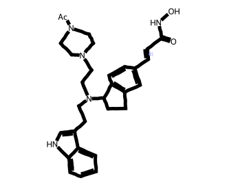 CC(=O)N1CCN(CCN(CCc2c[nH]c3ccccc23)C2CCc3cc(/C=C/C(=O)NO)ccc32)CC1